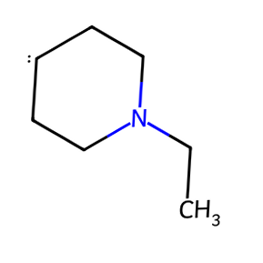 CCN1CC[C]CC1